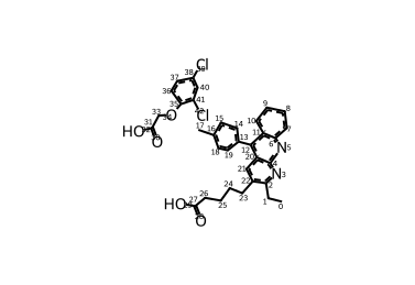 CCc1nc2nc3ccccc3c(-c3ccc(C)cc3)c2cc1CCCCC(=O)O.O=C(O)COc1ccc(Cl)cc1Cl